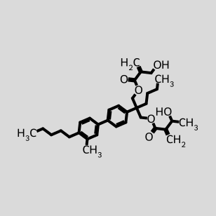 C=C(CO)C(=O)OCC(CCCC)(COC(=O)C(=C)C(C)O)c1ccc(-c2ccc(CCCCC)c(C)c2)cc1